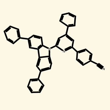 N#Cc1ccc(-c2cc(-c3ccccc3)cc(-n3c4ccc(-c5ccccc5)cc4c4cc(-c5ccccc5)ccc43)n2)cc1